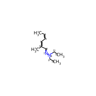 C\C=C/C=C(C)\C=N\N(CC)CC